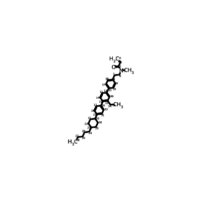 C=CC(=O)N(C)CCc1ccc(-c2ccc(-c3ccc(C4CCC(CCCCC)CC4)cc3)c(CC)c2)cc1